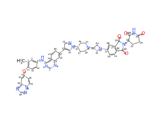 Cc1cc(Nc2ncnc3cc(-c4cnn(C5CCN(C6CN(c7ccc8c(c7)C(=O)N(C7CCC(=O)NC7=O)C8=O)C6)CC5)c4)ccc23)ccc1Oc1ccn2ncnc2c1